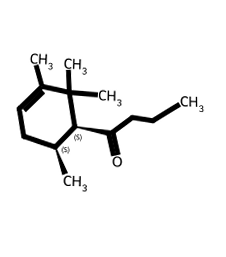 CCCC(=O)[C@H]1[C@@H](C)CC=C(C)C1(C)C